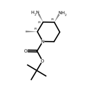 C[C@@H]1[C@H](N)[C@H](N)CCN1C(=O)OC(C)(C)C